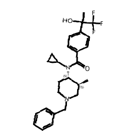 C[C@H]1CN(Cc2ccccc2)CC[C@@H]1N(C(=O)c1ccc(C(C)(O)C(F)(F)F)cc1)C1CC1